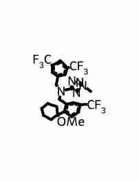 COC1(c2ccc(C(F)(F)F)cc2CN(Cc2cc(C(F)(F)F)cc(C(F)(F)F)c2)c2nnn(C)n2)CCCCC1